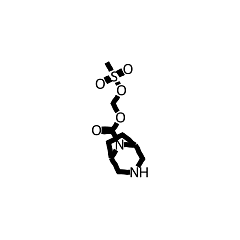 CS(=O)(=O)OCOC(=O)N1C2CCC1CNC2